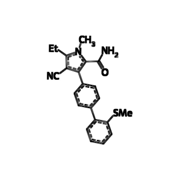 CCc1c(C#N)c(-c2ccc(-c3ccccc3SC)cc2)c(C(N)=O)n1C